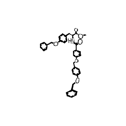 COC(=O)[C@H](Cc1ccc(OCc2ccccc2)cc1)NC(=O)c1ccc(OCc2ccc(OCc3ccccc3)cc2)cc1